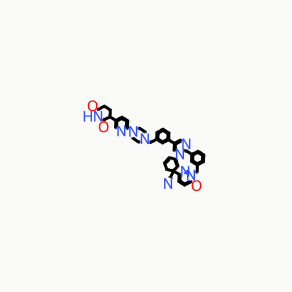 N#CC1(c2ccc(=O)n(Cc3cccc(-c4ncc(-c5cccc(CN6CCN(c7ccc(C8CCC(=O)NC8=O)cn7)CC6)c5)cn4)c3)n2)C=CC=CC1